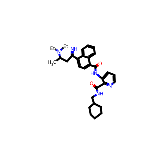 CCN(CC)C(C)CC(=N)c1ccc(C(=O)Nc2cccnc2C(=O)NCC2CCCCC2)c2ccccc12